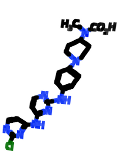 CN(C(=O)O)C1CCN(c2ccc(Nc3nccc(Nc4ccnc(Cl)n4)n3)cc2)CC1